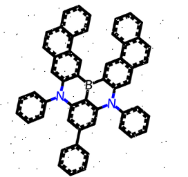 c1ccc(-c2cc3c4c(c2)N(c2ccccc2)c2cc5ccc6ccccc6c5cc2B4c2cc4c(ccc5ccccc54)cc2N3c2ccccc2)cc1